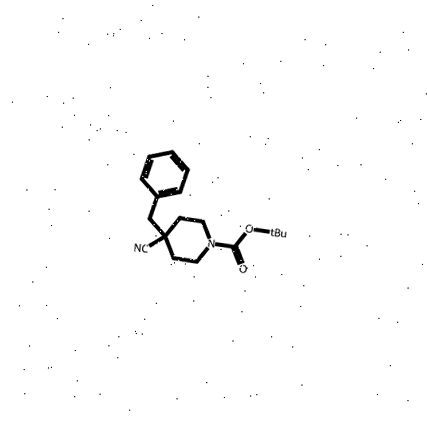 CC(C)(C)OC(=O)N1CCC(C#N)(Cc2ccccc2)CC1